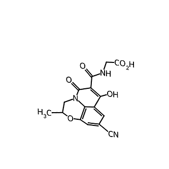 CC1Cn2c(=O)c(C(=O)NCC(=O)O)c(O)c3cc(C#N)cc(c32)O1